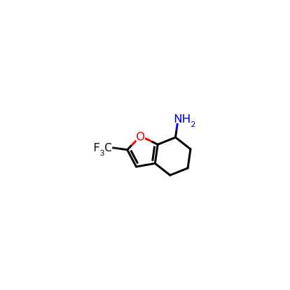 NC1CCCc2cc(C(F)(F)F)oc21